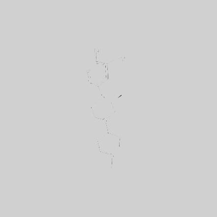 COc1cc(N2CCN(C3CCN(C)CC3)C[C@@H]2C)ncc1Br